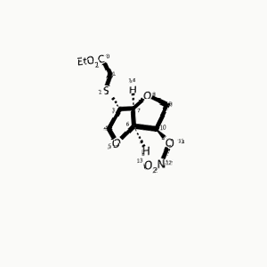 CCOC(=O)CS[C@H]1CO[C@H]2[C@@H]1OC[C@H]2O[N+](=O)[O-]